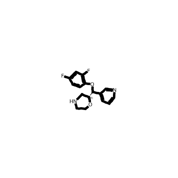 Fc1ccc(OC(c2cccnc2)[C@H]2CNCCO2)c(F)c1